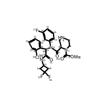 COC(=O)N1CCNCC1C(=O)N(c1cccc(F)c1)[C@@H](C(=O)NC1CC(F)(F)C1)c1ccccc1Cl